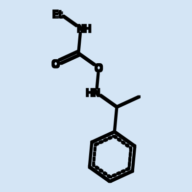 CCNC(=O)ONC(C)c1ccccc1